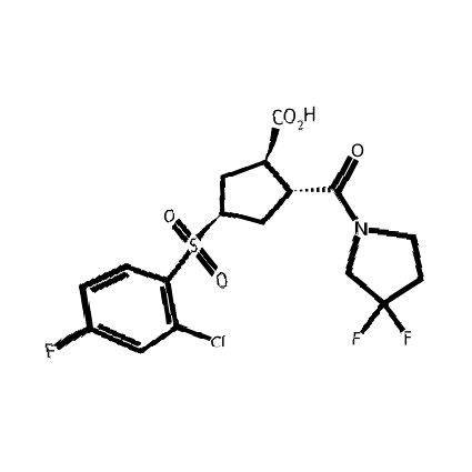 O=C(O)[C@@H]1C[C@H](S(=O)(=O)c2ccc(F)cc2Cl)C[C@H]1C(=O)N1CCC(F)(F)C1